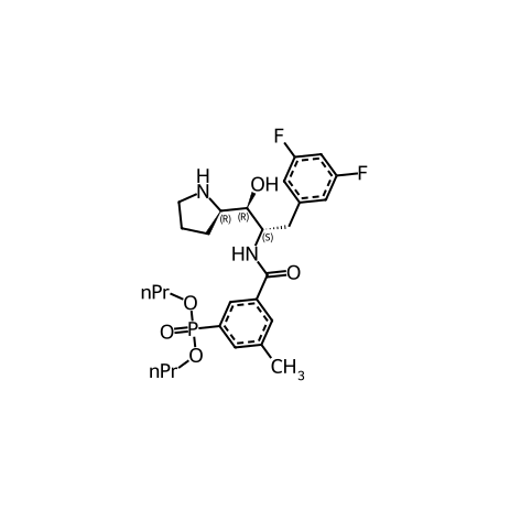 CCCOP(=O)(OCCC)c1cc(C)cc(C(=O)N[C@@H](Cc2cc(F)cc(F)c2)[C@H](O)[C@H]2CCCN2)c1